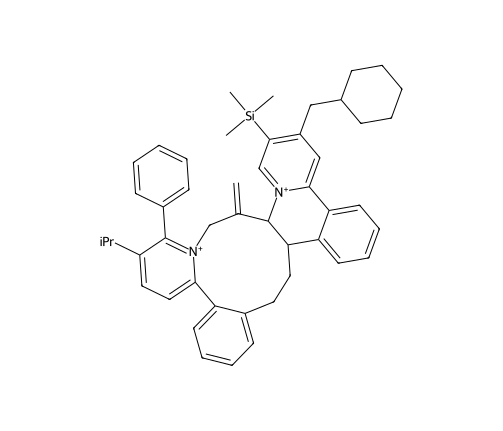 C=C1C[n+]2c(ccc(C(C)C)c2-c2ccccc2)-c2ccccc2CCC2c3ccccc3-c3cc(CC4CCCCC4)c([Si](C)(C)C)c[n+]3C12